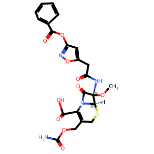 CO[C@@]1(NC(=O)Cc2cc(OC(=O)c3ccccc3)no2)C(=O)N2C(C(=O)O)=C(COC(N)=O)CS[C@@H]21